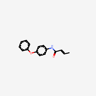 C/C=C/C(=O)Nc1ccc(Oc2ccccc2)cc1